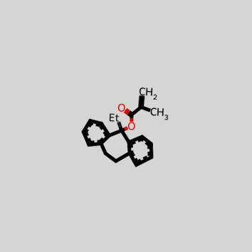 C=C(C)C(=O)OC1(CC)c2ccccc2CCc2ccccc21